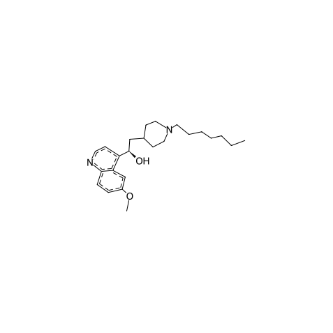 CCCCCCCN1CCC(C[C@@H](O)c2ccnc3ccc(OC)cc23)CC1